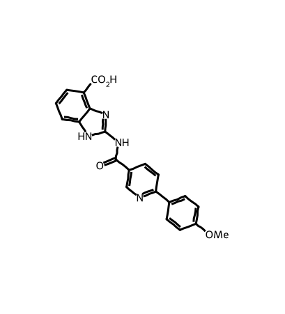 COc1ccc(-c2ccc(C(=O)Nc3nc4c(C(=O)O)cccc4[nH]3)cn2)cc1